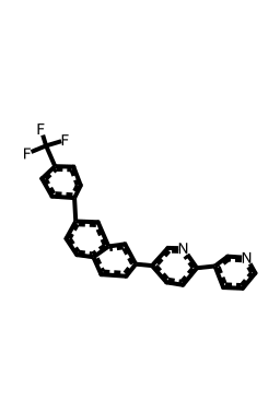 FC(F)(F)c1ccc(-c2ccc3ccc(-c4ccc(-c5cccnc5)nc4)cc3c2)cc1